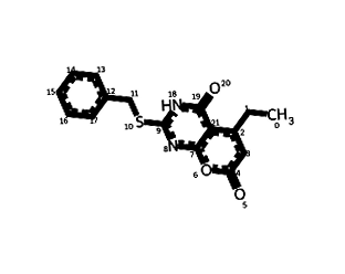 CCc1cc(=O)oc2nc(SCc3ccccc3)[nH]c(=O)c12